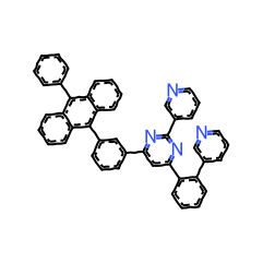 c1ccc(-c2c3ccccc3c(-c3cccc(-c4cc(-c5ccccc5-c5cccnc5)nc(-c5cccnc5)n4)c3)c3ccccc23)cc1